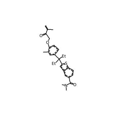 C=C(C)C(=O)COc1ccc(C(CC)(CC)c2cc3cc(C(=O)N(C)C)ccc3s2)cc1C